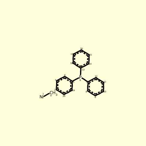 [CH3][Ni].c1ccc(P(c2ccccc2)c2ccccc2)cc1